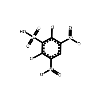 O=[N+]([O-])c1cc([N+](=O)[O-])c(Cl)c(S(=O)(=O)O)c1Cl